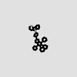 c1ccc(-c2c3c(c(-c4ccccc4)c4cc(-c5ccc(-n6c7ccccc7c7ncccc76)cc5)ccc24)-c2cccc4cccc-3c24)cc1